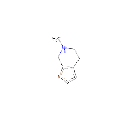 [CH2-][NH+]1CCc2ccsc2C1